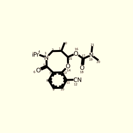 CC1CN(C(C)C)C(=O)c2cccc(C#N)c2OC1OC(=O)N(C)C